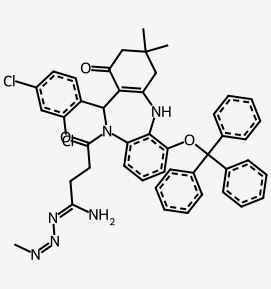 C/N=N\N=C(/N)CCC(=O)N1c2cccc(OC(c3ccccc3)(c3ccccc3)c3ccccc3)c2NC2=C(C(=O)CC(C)(C)C2)C1c1ccc(Cl)cc1Cl